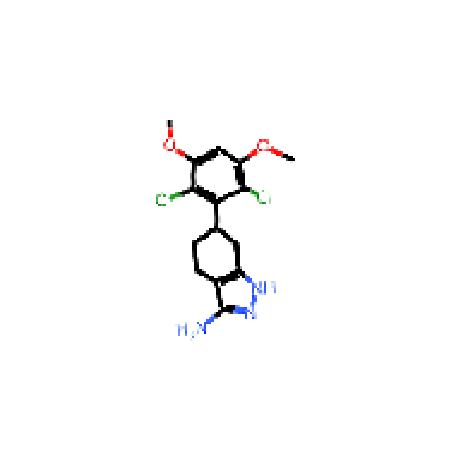 COc1cc(OC)c(Cl)c(C2CCc3c(N)n[nH]c3C2)c1Cl